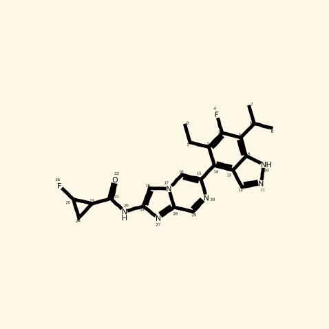 CCc1c(F)c(C(C)C)c2[nH]ncc2c1-c1cn2cc(NC(=O)C3CC3F)nc2cn1